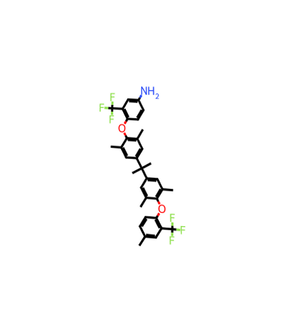 Cc1ccc(Oc2c(C)cc(C(C)(C)c3cc(C)c(Oc4ccc(N)cc4C(F)(F)F)c(C)c3)cc2C)c(C(F)(F)F)c1